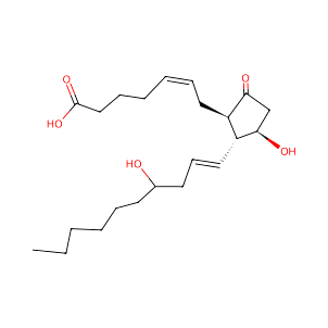 CCCCCCC(O)C/C=C/[C@H]1[C@H](O)CC(=O)[C@@H]1C/C=C\CCCC(=O)O